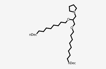 CCCCCCCCCCCCCCCCCCOCC(CN1CCCC1)OCCCCCCCCCCCCCCCCCC